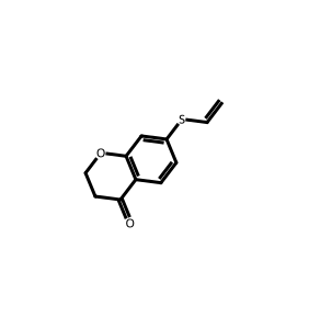 C=CSc1ccc2c(c1)OCCC2=O